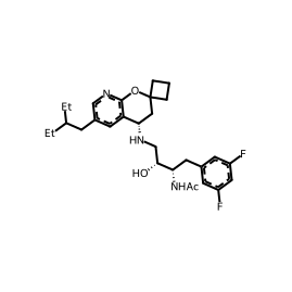 CCC(CC)Cc1cnc2c(c1)[C@@H](NC[C@@H](O)[C@H](Cc1cc(F)cc(F)c1)NC(C)=O)CC1(CCC1)O2